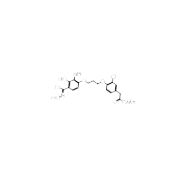 CCCc1c(OCCCOc2ccc(CC(=O)OC)cc2Cl)ccc(C(CC)=NO)c1O